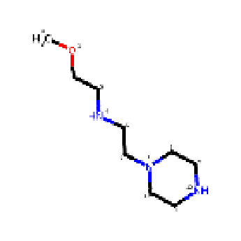 COCCNCCN1CCNCC1